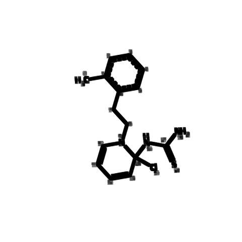 Cc1ccccc1CCN1C=CC=CC1(Cl)NC(N)=S